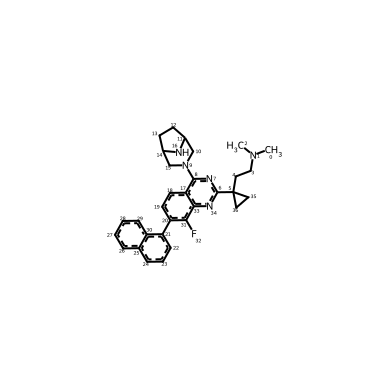 CN(C)CCC1(c2nc(N3CC4CCC(C3)N4)c3ccc(-c4cccc5ccccc45)c(F)c3n2)CC1